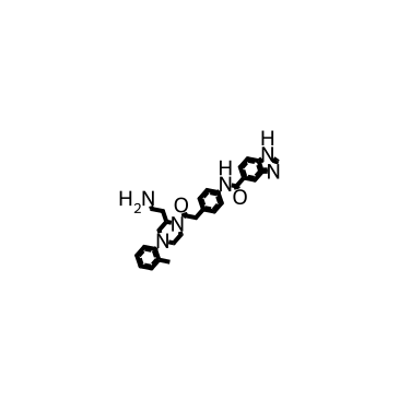 Cc1ccccc1N1CCN(C(=O)Cc2ccc(NC(=O)c3ccc4[nH]cnc4c3)cc2)C(CCN)C1